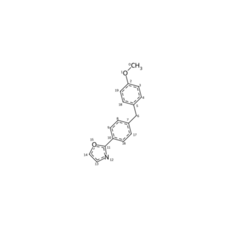 COc1ccc(Cc2ccc(-c3ncco3)cc2)cc1